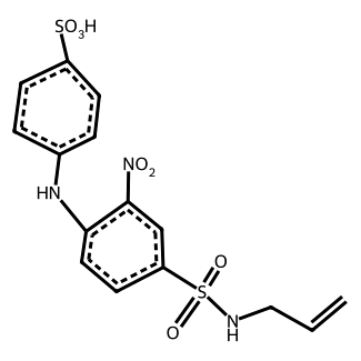 C=CCNS(=O)(=O)c1ccc(Nc2ccc(S(=O)(=O)O)cc2)c([N+](=O)[O-])c1